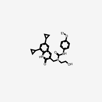 CCOc1ccc(NC(=O)N(CCO)Cc2cc3cc(C4CC4)cc(C4CC4)c3[nH]c2=O)cc1